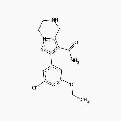 CCOc1cc(Cl)cc(-c2nn3c(c2C(N)=O)CNCC3)c1